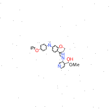 COC(O)c1ccncc1NC[C@@H]1CCOc2cc(N(C)c3ccc(OC(C)C)cc3)ccc21